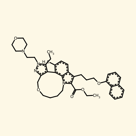 CCOC(=O)c1c(CCCOc2cccc3ccccc23)c2ccc(C)c3c2n1CCCCOCc1nn(CCN2CCOCC2)c(CC)c1-3